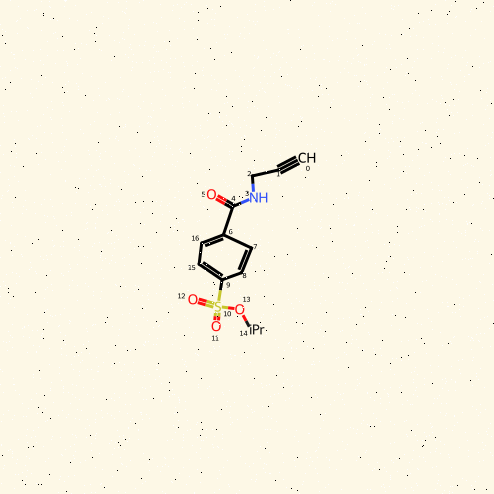 C#CCNC(=O)c1ccc(S(=O)(=O)OC(C)C)cc1